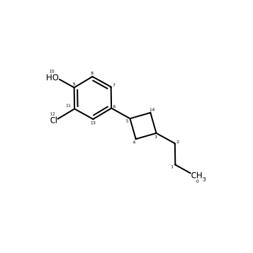 CCCC1CC(c2ccc(O)c(Cl)c2)C1